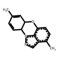 CC1=CC2Oc3ccc(C)c4cnn(c34)C2C=C1